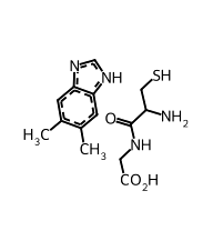 Cc1cc2nc[nH]c2cc1C.NC(CS)C(=O)NCC(=O)O